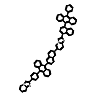 c1ccc(-c2c3ccccc3c(-c3ccc(-c4cn5cc(-c6ccc7cc(-c8c9ccccc9c(-c9ccc(-c%10cn%11ccccc%11n%10)cc9)c9ccccc89)ccc7c6)ccc5n4)c4ccccc34)c3ccccc23)cc1